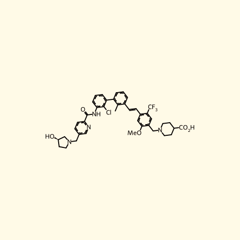 COc1cc(/C=C/c2cccc(-c3cccc(NC(=O)c4ccc(CN5CC[C@@H](O)C5)cn4)c3Cl)c2C)c(C(F)(F)F)cc1CN1CCC(C(=O)O)CC1